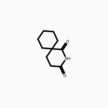 O=C1CCC2(CCCCC2)C(=O)N1